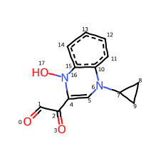 O=CC(=O)C1=CN(C2CC2)c2ccccc2N1O